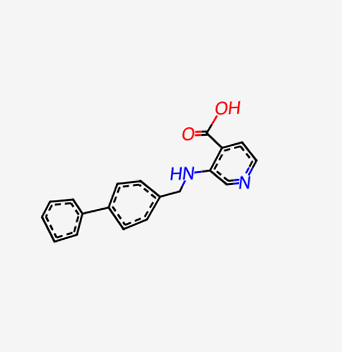 O=C(O)c1ccncc1NCc1ccc(-c2ccccc2)cc1